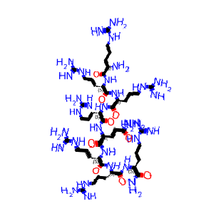 N=C(N)NCCC[C@H](NC(=O)[C@H](CCCNC(=N)N)NC(=O)[C@H](CCCNC(=N)N)NC(=O)[C@H](CCC(N)=O)NC(=O)[C@H](CCCNC(=N)N)NC(=O)[C@H](CCCNC(=N)N)NC(=O)[C@H](CCCNC(=N)N)NC(=O)[C@@H](N)CCCNC(=N)N)C(N)=O